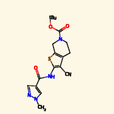 Cn1cc(C(=O)Nc2sc3c(c2C#N)CCN(C(=O)OC(C)(C)C)C3)cn1